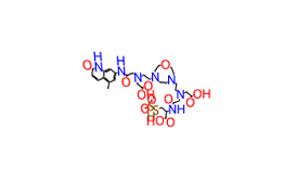 Cc1cc(NC(=O)CN(CCN2CCOCCN(CCN(CC(=O)O)CC(=O)NC(CS[SH](=O)=O)C(=O)O)CC2)CC(=O)O)cc2[nH]c(=O)ccc12